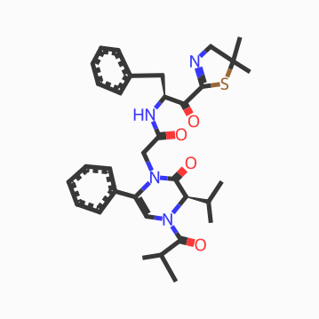 CC(C)C(=O)N1C=C(c2ccccc2)N(CC(=O)N[C@@H](Cc2ccccc2)C(=O)C2=NCC(C)(C)S2)C(=O)[C@H]1C(C)C